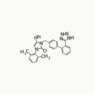 CCCc1cn(-c2c(C)cccc2C)c(=O)n1Cc1ccc(-c2ccccc2-c2nnn[nH]2)cc1